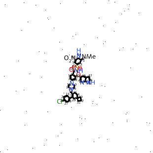 CN/C=C1/C=C(S(=O)(=O)NC(=O)c2ccc(N3CCN(CC4=C(c5ccc(Cl)cc5)CC5(CCC5)CC4)CC3)cc2Oc2cnc3[nH]ccc3c2)C=C([N+](=O)[O-])C1=N